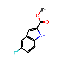 CC(C)OC(=O)c1cc2cc(F)ccc2[nH]1